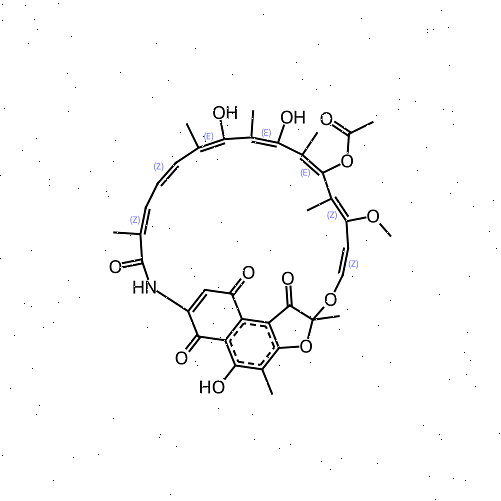 COC1=C(C)\C(OC(C)=O)=C(C)/C(O)=C(C)\C(O)=C(C)/C=C\C=C(\C)C(=O)NC2=CC(=O)c3c(c(O)c(C)c4c3C(=O)C(C)(O/C=C\1)O4)C2=O